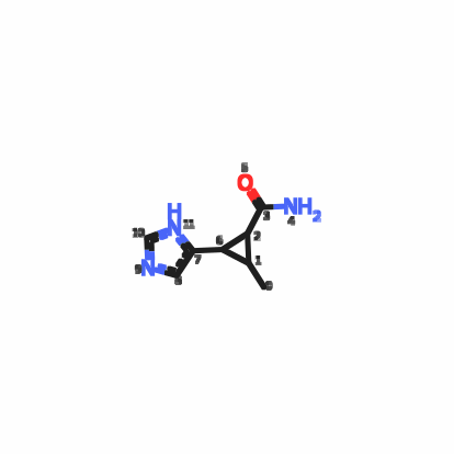 CC1C(C(N)=O)C1c1cnc[nH]1